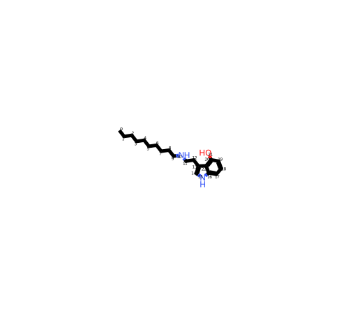 CCCCCCCCCCNCCc1c[nH]c2cccc(O)c12